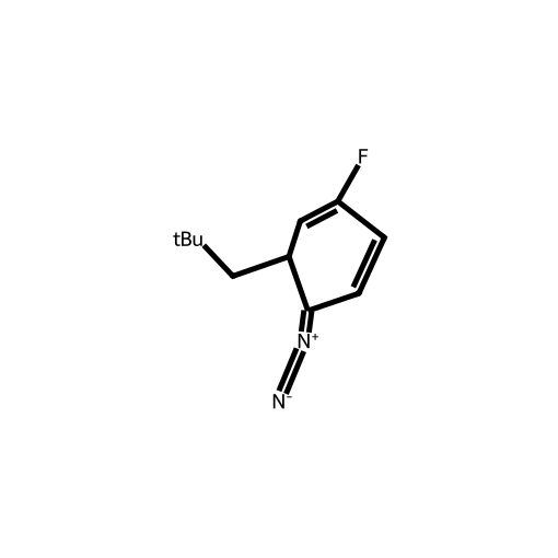 CC(C)(C)CC1C=C(F)C=CC1=[N+]=[N-]